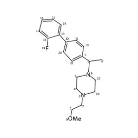 COCCN1CCN(C(C)c2ccc(-c3ccccc3F)cc2)CC1